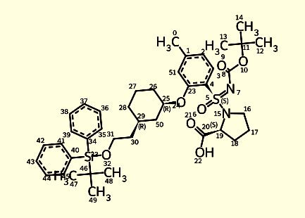 Cc1ccc([S@@](=O)(=NC(=O)OC(C)(C)C)N2CCC[C@H]2C(=O)O)c(O[C@@H]2CCC[C@H](CCO[Si](c3ccccc3)(c3ccccc3)C(C)(C)C)C2)c1